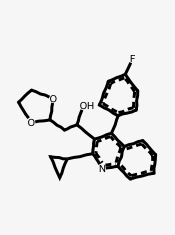 OC(CC1OCCO1)c1c(C2CC2)nc2ccccc2c1-c1ccc(F)cc1